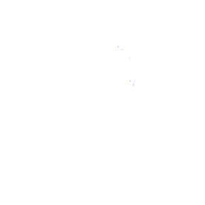 CCCCOc1cccc(C(F)(F)CN(C)CC(=O)N(C)C)c1